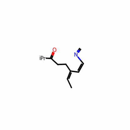 C=N/C=C\C(=C/C)CCC(=O)C(C)C